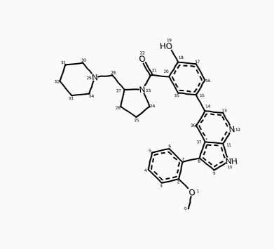 COc1ccccc1-c1c[nH]c2ncc(-c3ccc(O)c(C(=O)N4CCCC4CN4CCCCC4)c3)cc12